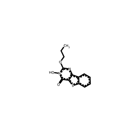 CCCOc1nc2c(sc3ccccc32)c(=O)n1O